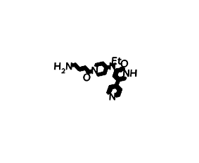 CCN(c1cc(-c2ccncc2)c[nH]c1=O)C1CCN(C(=O)C=CCN)CC1